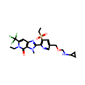 CCn1c(C(F)(F)F)cc2nc(-c3ncc(COCNC4CC4)cc3S(=O)(=O)CC)n(C)c2c1=O